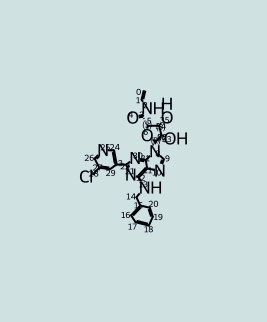 C=CNC(=O)[C@H]1O[C@@H](n2cnc3c(NCc4ccccc4)nc(-c4cncc(Cl)c4)nc32)[C@H](O)[C@@H]1O